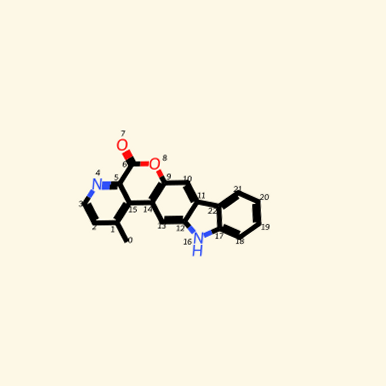 Cc1ccnc2c(=O)oc3cc4c(cc3c12)[nH]c1ccccc14